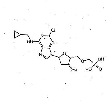 O=P(O)(O)COC[C@H]1OC(n2cnc3c(NCC4CC4)nc(Cl)nc32)C[C@@H]1O